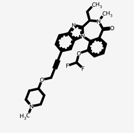 CCC1c2nc3ccc(C#CCOC4CCN(C)CC4)cc3n2-c2c(OC(F)F)cccc2C(=O)N1C